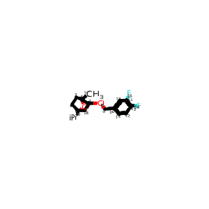 CC(C)C12CCC(C)(O1)C(OCc1ccc(F)c(F)c1)C2